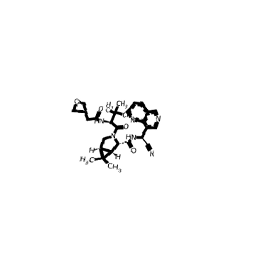 CC(C)(C)[C@H](NC(=O)CC1COC1)C(=O)N1C[C@H]2[C@@H]([C@H]1C(=O)N[C@H](C#N)c1cncc3cccnc13)C2(C)C